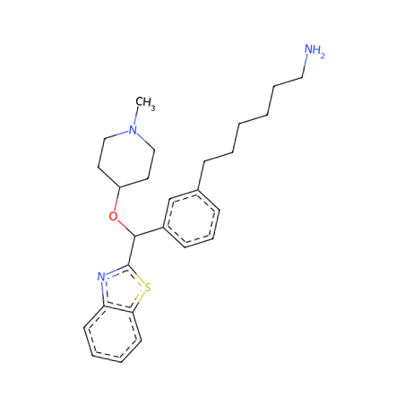 CN1CCC(OC(c2cccc(CCCCCCN)c2)c2nc3ccccc3s2)CC1